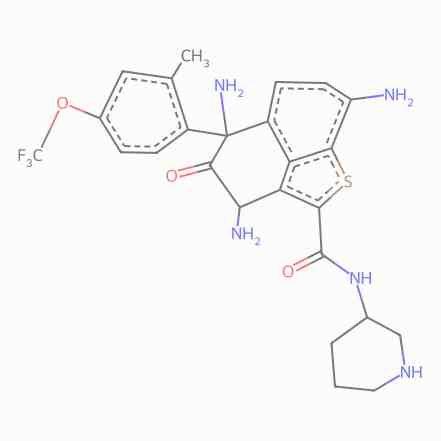 Cc1cc(OC(F)(F)F)ccc1C1(N)C(=O)C(N)c2c(C(=O)NC3CCCNC3)sc3c(N)ccc1c23